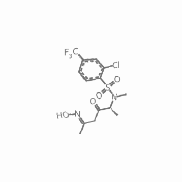 CC(CC(=O)[C@H](C)N(C)S(=O)(=O)c1ccc(C(F)(F)F)cc1Cl)=NO